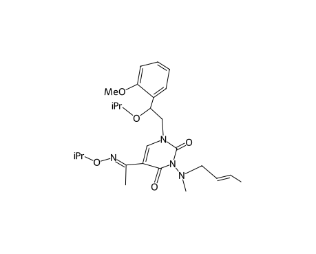 C/C=C/CN(C)n1c(=O)c(/C(C)=N/OC(C)C)cn(CC(OC(C)C)c2ccccc2OC)c1=O